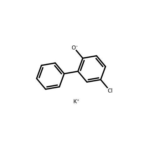 [K+].[O-]c1ccc(Cl)cc1-c1ccccc1